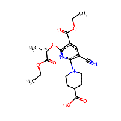 CCOC(=O)c1cc(C#N)c(N2CCC(C(=O)O)CC2)nc1O[C@@H](C)C(=O)OCC